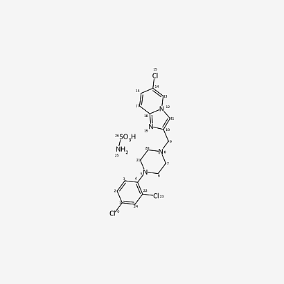 Clc1ccc(N2CCN(Cc3cn4cc(Cl)ccc4n3)CC2)c(Cl)c1.NS(=O)(=O)O